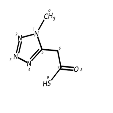 Cn1nnnc1CC(=O)S